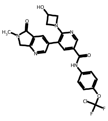 CN1Cc2ncc(-c3cc(C(=O)Nc4ccc(OC(F)(F)Cl)cc4)cnc3N3CC(O)C3)cc2C1=O